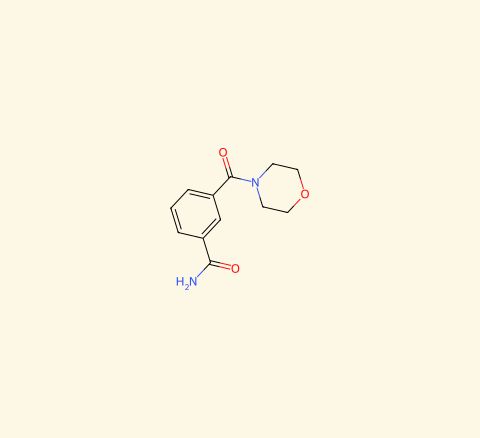 NC(=O)c1cccc(C(=O)N2CCOCC2)c1